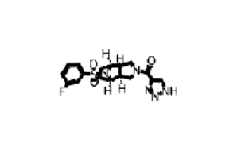 O=C(c1c[nH]nn1)N1C[C@@H]2[C@H](C1)[C@@H]1CC[C@H]2N1S(=O)(=O)c1cccc(F)c1